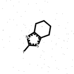 Ic1nc2c(s1)CCCC2